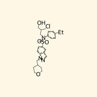 CCc1ccc(N(CC(CO)CCl)S(=O)(=O)c2ccc3c(cnn3CC3CCOCC3)c2)cc1